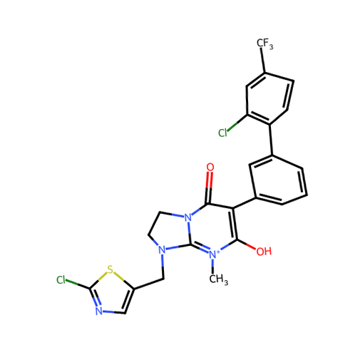 C[n+]1c(O)c(-c2cccc(-c3ccc(C(F)(F)F)cc3Cl)c2)c(=O)n2c1N(Cc1cnc(Cl)s1)CC2